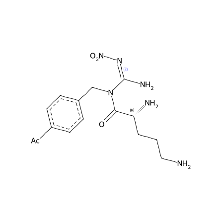 CC(=O)c1ccc(CN(C(=O)[C@H](N)CCCN)/C(N)=N\[N+](=O)[O-])cc1